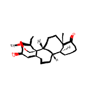 CCOC[C@@]12C(=CC(=O)CC1C)CC[C@@H]1[C@H]2CC[C@]2(C)C(=O)CC[C@@H]12